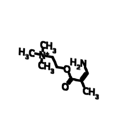 CC(=CN)C(=O)OCC[N+](C)(C)C